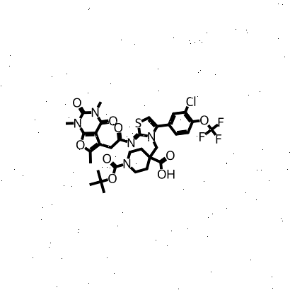 Cc1oc2c(c1CC(=O)N=c1scc(-c3ccc(OC(F)(F)F)c(Cl)c3)n1CC1(C(=O)O)CCN(C(=O)OC(C)(C)C)CC1)c(=O)n(C)c(=O)n2C